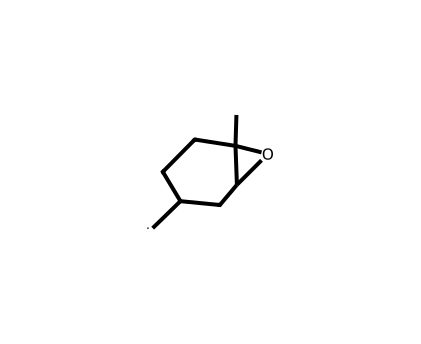 [CH2]C1CCC2(C)OC2C1